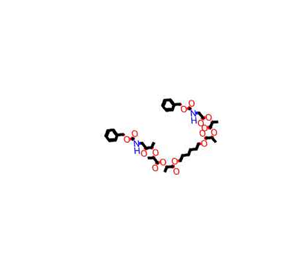 CC(OC(C)C(=O)OC(C)C(=O)OCCCCCCOC(=O)C(C)OC(=O)C(C)OC(=O)CNC(=O)OCc1ccccc1)C(=O)CNC(=O)OCc1ccccc1